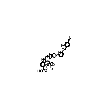 COC1(Cn2c(Cn3cc4c(n3)CN(c3cccc(OCc5ccc(C#N)cc5F)n3)C4)nc3ccc(C(=O)O)cc32)COC1